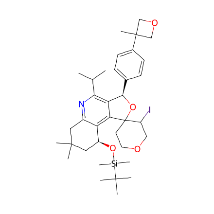 CC(C)c1nc2c(c3c1[C@@H](c1ccc(C4(C)COC4)cc1)OC31CCOCC1I)[C@@H](O[Si](C)(C)C(C)(C)C)CC(C)(C)C2